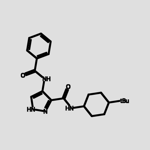 CC(C)(C)C1CCC(NC(=O)c2n[nH]cc2NC(=O)c2ccccc2)CC1